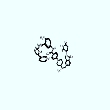 Cc1ccc(NC(=O)c2ccc(N3CCC(N(C)Cc4ccc5c(c4)CN(C4CCC(=O)NC4=O)C5=O)CC3)cc2)cc1Nc1nccc(-c2cccnc2)n1